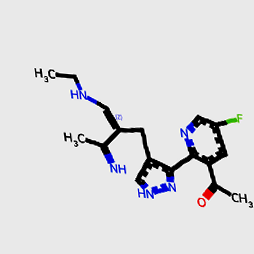 CCN/C=C(/Cc1c[nH]nc1-c1ncc(F)cc1C(C)=O)C(C)=N